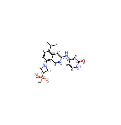 CC(C)c1ccc(N2CC(S(C)(=O)=O)C2)c2cnc(Nc3cc[nH]c(=O)n3)cc12